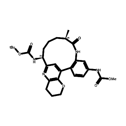 COC(=O)Nc1ccc2c(c1)NC(=O)[C@H](C)CCC[C@H](NC(=O)OC(C)(C)C)c1cc-2c2c(n1)CCCO2